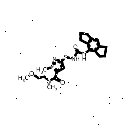 COCCN(C)C(=O)c1cc(SNC(=O)Nc2c3c(cc4c2CCC4)CCC3)nn1C